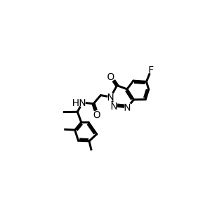 Cc1ccc(C(C)NC(=O)Cn2nnc3ccc(F)cc3c2=O)c(C)c1